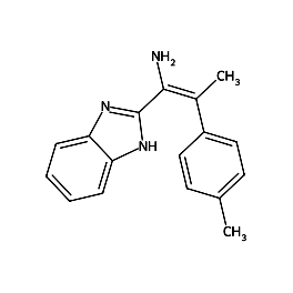 CC(=C(N)c1nc2ccccc2[nH]1)c1ccc(C)cc1